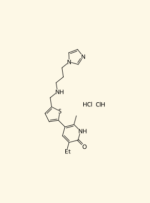 CCc1cc(-c2ccc(CNCCCn3ccnc3)s2)c(C)[nH]c1=O.Cl.Cl